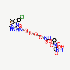 Cc1sc2c(c1C)C(c1ccc(Cl)cc1)=N[C@@H](CC(=O)NCCOCCOCCOCCOCCNC(=O)COc1cccc3c1C(=O)N(C1CCC(=O)NC1O)C3=O)c1nnc(C)n1-2